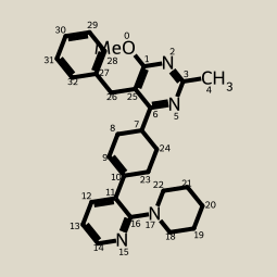 COc1nc(C)nc(C2CC=C(c3cccnc3N3CCCCC3)CC2)c1Cc1ccccc1